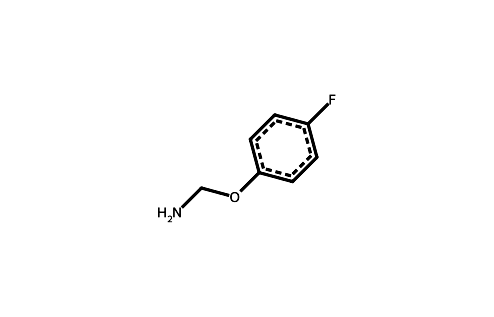 NCOc1ccc(F)cc1